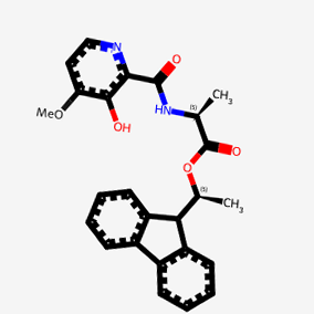 COc1ccnc(C(=O)N[C@@H](C)C(=O)O[C@@H](C)C2c3ccccc3-c3ccccc32)c1O